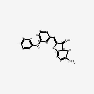 NC1=CC=C2O/C(=C\c3cccc(Oc4ccccc4)c3)C(=O)C2C1